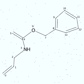 C=CCNC(=C)OCc1ccccc1